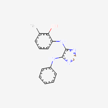 N#Cc1cccc(Nc2nsnc2Nc2ccccc2)c1O